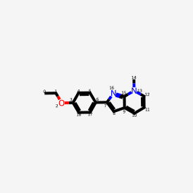 CCOc1ccc(-c2cc3cccn(C)c-3n2)cc1